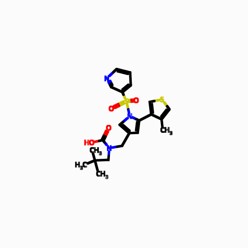 Cc1cscc1-c1cc(CN(CC(C)(C)C)C(=O)O)cn1S(=O)(=O)c1cccnc1